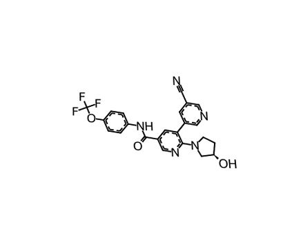 N#Cc1cncc(-c2cc(C(=O)Nc3ccc(OC(F)(F)F)cc3)cnc2N2CC[C@@H](O)C2)c1